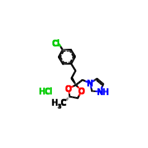 C[C@H]1CO[C@@](CCc2ccc(Cl)cc2)(CN2C=CNC2)O1.Cl